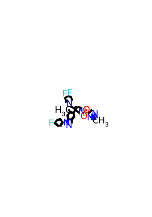 Cc1cc2c(cnn2-c2ccc(F)cc2)cc1C12CN(S(=O)(=O)c3cnn(C)n3)CC1C2CN1CCC(F)(F)CC1